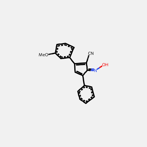 COc1cccc(C2=C(C#N)/C(=N\O)C(c3ccccc3)=C2)c1